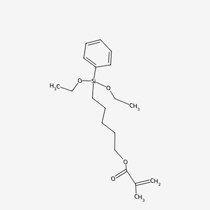 C=C(C)C(=O)OCCCCC[Si](OCC)(OCC)c1ccccc1